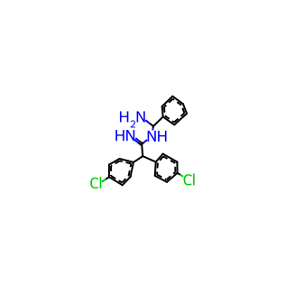 N=C(NC(N)c1ccccc1)C(c1ccc(Cl)cc1)c1ccc(Cl)cc1